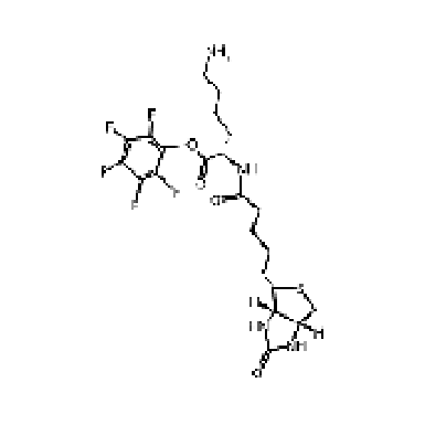 NCCCC[C@H](NC(=O)CCCC[C@@H]1SC[C@@H]2NC(=O)N[C@@H]21)C(=O)Oc1c(F)c(F)c(F)c(F)c1F